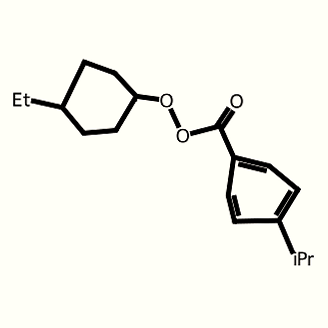 CCC1CC[C](OOC(=O)c2ccc(C(C)C)cc2)CC1